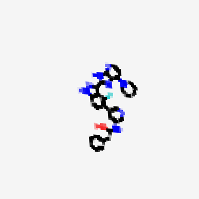 OC(Cc1ccccc1)Nc1cncc(-c2ccc3[nH]nc(-c4nc5c(N6CCCCC6)ccnc5[nH]4)c3c2F)c1